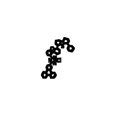 Clc1nc(-c2ccc3c4ccccc4c4ccccc4c3c2)nc(-c2cccc3oc4c(-c5cccc6c5sc5c(-c7ccccc7)cccc56)cccc4c23)n1